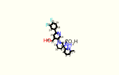 Cc1cccc(C2(NC(=O)O)CCCN(c3cnc(-c4ccc(F)c(F)c4)cc3CO)C2)n1